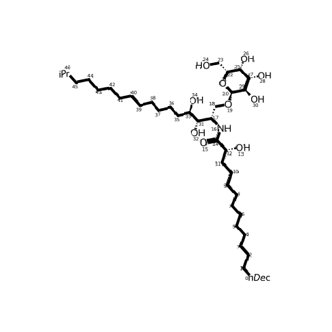 CCCCCCCCCCCCCCCCCCCCC[C@@H](O)C(=O)N[C@@H](CO[C@H]1O[C@H](CO)[C@H](O)[C@H](O)[C@H]1O)[C@H](O)[C@H](O)CCCCCCCCCCCC(C)C